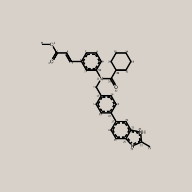 COC(=O)/C=C/c1cccc(N(Cc2ccc(-c3ccc4nc(C)[nH]c4c3)cc2)C(=O)C2CCCCC2)c1